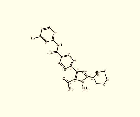 CCc1ccnc(NC(=O)c2ccc(-c3nc([C@@H]4CCCCN4)n(N)c3C(N)=O)cc2)c1